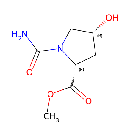 COC(=O)[C@H]1C[C@@H](O)CN1C(N)=O